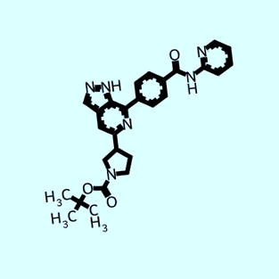 CC(C)(C)OC(=O)N1CCC(c2cc3cn[nH]c3c(-c3ccc(C(=O)Nc4ccccn4)cc3)n2)C1